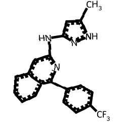 Cc1cc(Nc2cc3ccccc3c(-c3ccc(C(F)(F)F)cc3)n2)n[nH]1